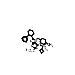 CC1CCC(Cn2c(C3=C(c4ccccc4)CCCC3)nc3nc(C(=O)O)nc(N[C@H](C)C4CCC4)c32)CC1